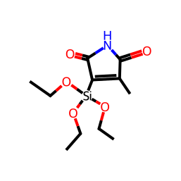 CCO[Si](OCC)(OCC)C1=C(C)C(=O)NC1=O